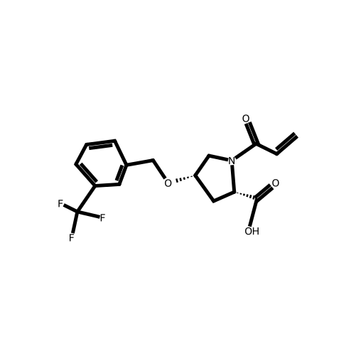 C=CC(=O)N1C[C@@H](OCc2cccc(C(F)(F)F)c2)C[C@H]1C(=O)O